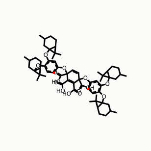 CC1CCC2C(C)(C)C2(Oc2ccc(OC3(C(=O)O)C=CC(Oc4ccc(OC56CC(C)CCC5C6(C)C)c(OC56CC(C)CCC5C6(C)C)c4)(C(=O)O)C(C(=O)O)=C3C(=O)O)cc2OC23CC(C)CCC2C3(C)C)C1